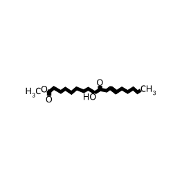 CCCCCC=CCC(=O)C(O)CCCCCCCC(=O)OC